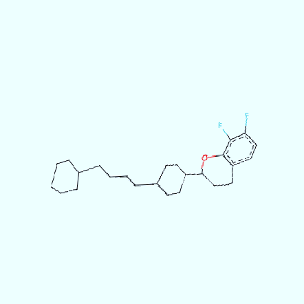 Fc1ccc2c(c1F)OC(C1CCC(CCCCC3CCCCC3)CC1)CC2